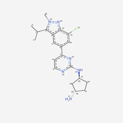 CC(C)c1c2cc(-c3ccnc(N[C@H]4CC[C@H](N)C4)n3)cc(F)c2nn1C